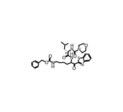 CC(C)C[C@H](NC(=O)N1CCOCC1)C(=O)NC(CCCCNC(=O)OCc1ccccc1)C(=O)c1nc2ccccc2s1